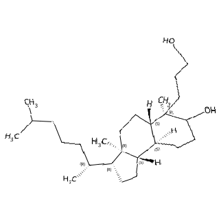 CC(C)CCC[C@@H](C)[C@H]1CC[C@H]2[C@@H]3CCC(O)[C@](C)(CCCO)[C@H]3CC[C@]12C